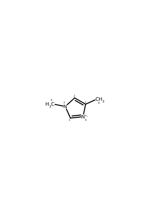 CC1=CN(C)C=[N+]1